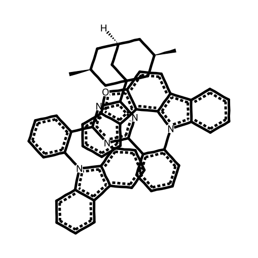 C[C@@H]1C[C@@H]2C[C@H](C)CC(c3nc(-c4ccccc4-n4c5ccccc5c5ccccc54)nc(-c4ccccc4-n4c5ccccc5c5ccc6oc7ccccc7c6c54)n3)(C1)C2